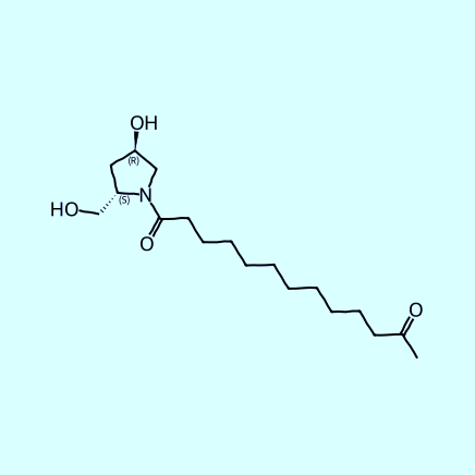 CC(=O)CCCCCCCCCCC(=O)N1C[C@H](O)C[C@H]1CO